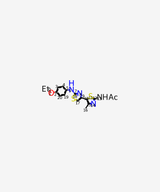 CCOc1ccc(Nc2nc(-c3sc(NC(C)=O)nc3C)cs2)cc1